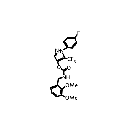 COc1cccc(CNC(=O)Oc2cnn(-c3ccc(F)cc3)c2C(F)(F)F)c1OC